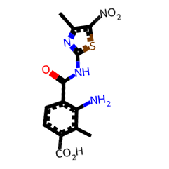 Cc1nc(NC(=O)c2ccc(C(=O)O)c(C)c2N)sc1[N+](=O)[O-]